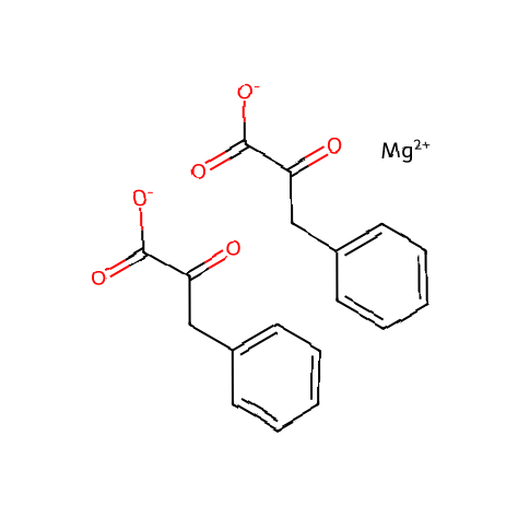 O=C([O-])C(=O)Cc1ccccc1.O=C([O-])C(=O)Cc1ccccc1.[Mg+2]